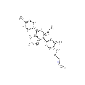 C/C=C/COc1ccc(-c2c(OC)cc(-c3ccc(O)cc3)c(OC)c2O)cc1O